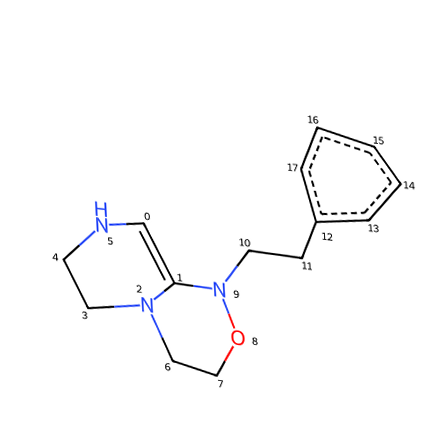 C1=C2N(CCN1)CCON2CCc1ccccc1